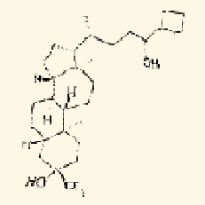 C[C@H](CC[C@@H](O)C1CCC1)[C@H]1CC[C@H]2[C@@H]3CC[C@H]4C[C@](O)(C(F)(F)F)CC[C@]4(C)[C@H]3CC[C@]12C